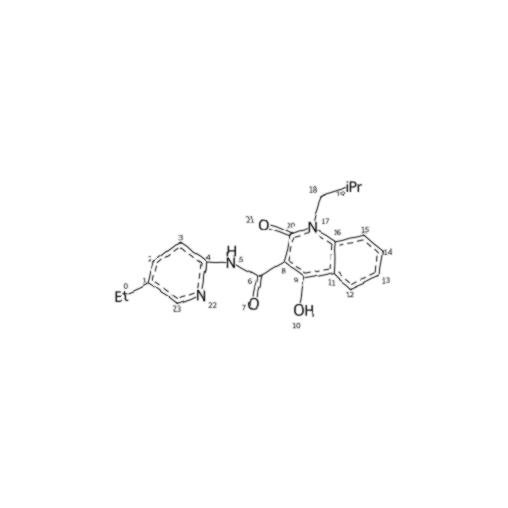 CCc1ccc(NC(=O)c2c(O)c3ccccc3n(CC(C)C)c2=O)nc1